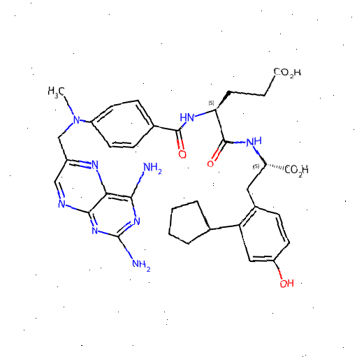 CN(Cc1cnc2nc(N)nc(N)c2n1)c1ccc(C(=O)N[C@@H](CCC(=O)O)C(=O)N[C@@H](Cc2ccc(O)cc2C2CCCC2)C(=O)O)cc1